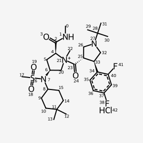 CNC(=O)[C@@H]1C[C@H](N(C2CCC(C)(C)CC2)S(C)(=O)=O)C[N+]1(C)C(=O)[C@@H]1CN(C(C)(C)C)C[C@H]1c1ccc(F)cc1F.Cl